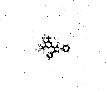 CC(C)(C)C1=CC(=C2C(=O)N(c3ccccc3)N=C2c2cccs2)C=C(C(C)(C)C)C1=O